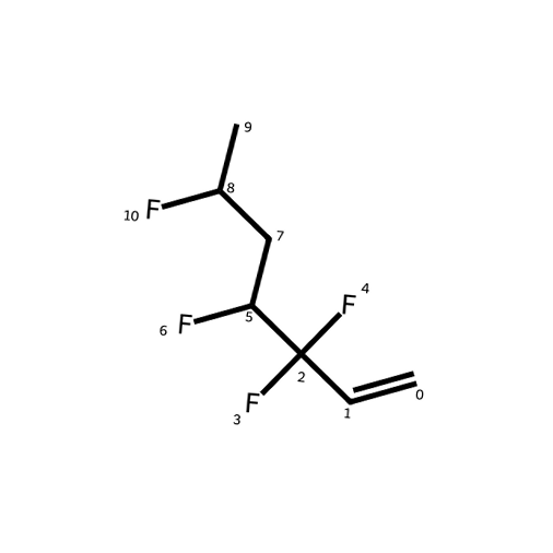 C=CC(F)(F)C(F)CC(C)F